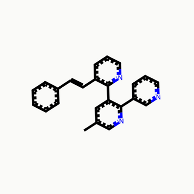 Cc1cnc(-c2cccnc2)c(-c2ncccc2/C=C/c2ccccc2)c1